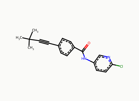 CC(C)(C)C#Cc1ccc(C(=O)Nc2ccc(Cl)nc2)cc1